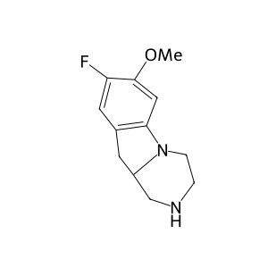 COc1cc2c(cc1F)CC1CNCCN21